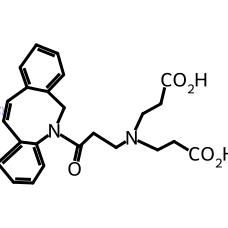 O=C(O)CCN(CCC(=O)O)CCC(=O)N1Cc2ccccc2/C=C\c2ccccc21